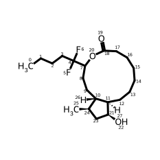 CCCCC(F)(F)C1CC[C@@H]2[C@@H](CCCCCCC(=O)O1)[C@@H](O)C[C@H]2C